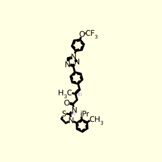 C/C(=C\c1ccc(-c2ncn(-c3ccc(OC(F)(F)F)cc3)n2)cc1)CC(=O)/N=C1\SCCN1c1cccc(C)c1C(C)C